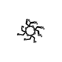 C=C[Si]1(C=C)O[Si](C=C)(C=C)O[Si](CC(C)C)(CC(C)C)O[Si](CC(C)C)(CC(C)C)O1